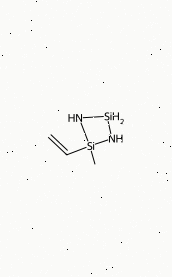 C=C[Si]1(C)N[SiH2]N1